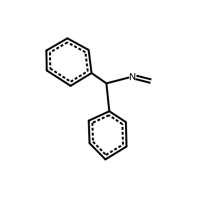 C=NC(c1ccccc1)c1ccccc1